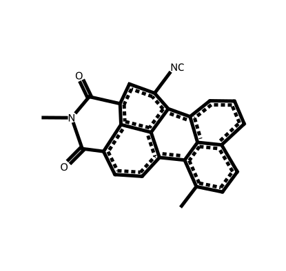 [C-]#[N+]c1cc2c3c(ccc4c5c(C)ccc6cccc(c1c34)c65)C(=O)N(C)C2=O